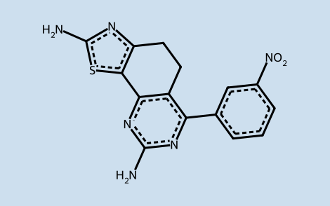 Nc1nc(-c2cccc([N+](=O)[O-])c2)c2c(n1)-c1sc(N)nc1CC2